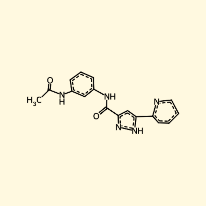 CC(=O)Nc1cccc(NC(=O)c2cc(-c3ccccn3)[nH]n2)c1